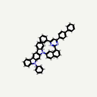 c1ccc(-c2ccc(-c3cc(-c4ccccc4)nc(-c4cccc5ccc(-n6c7ccccc7c7cc8c9ccccc9n(-c9ccccc9)c8cc76)cc45)n3)cc2)cc1